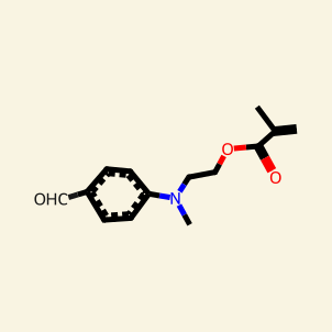 C=C(C)C(=O)OCCN(C)c1ccc(C=O)cc1